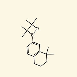 CC1(C)CCCc2ccc(B3OC(C)(C)C3(C)C)cc21